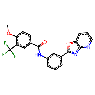 COc1ccc(C(=O)Nc2cccc(-c3nc4ncccc4o3)c2)cc1C(F)(F)F